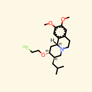 COc1cc2c(cc1OC)[C@H]1C[C@@H](OCC[18F])[C@H](CC(C)C)CN1CC2